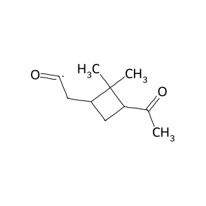 CC(=O)C1CC(C[C]=O)C1(C)C